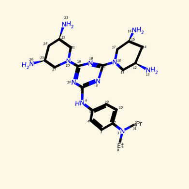 CCN(c1ccc(Nc2nc(N3C[C@H](N)C[C@H](N)C3)nc(N3C[C@H](N)C[C@H](N)C3)n2)cc1)C(C)C